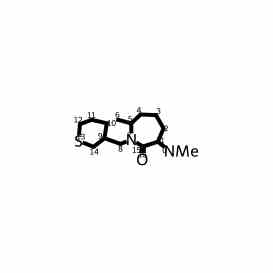 CNC1CCCC(C)N(CC2CCCSC2)C1=O